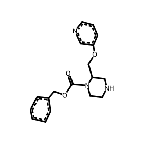 O=C(OCc1ccccc1)N1CCNCC1COc1cccnc1